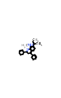 C/C=C(\C)c1ccc2c(-c3ccccc3)cc(-c3ccccc3)nc2c1NC